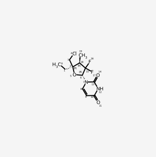 CC[C@@]1(CCl)O[C@@H](n2ccc(=O)[nH]c2=O)C(F)(F)[C@@H]1C